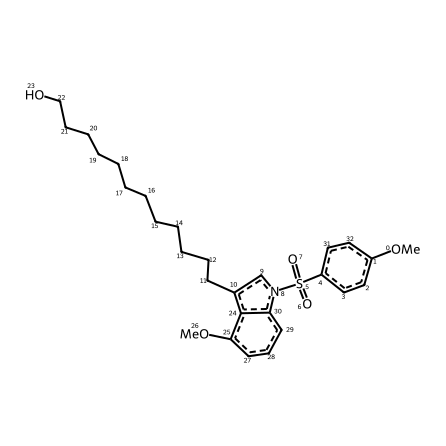 COc1ccc(S(=O)(=O)n2cc(CCCCCCCCCCCCO)c3c(OC)cccc32)cc1